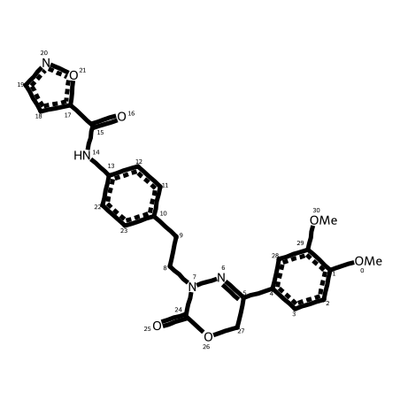 COc1ccc(C2=NN(CCc3ccc(NC(=O)c4ccno4)cc3)C(=O)OC2)cc1OC